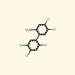 O=[N+]([O-])c1cc(Cl)c(Cl)cc1-c1cc(Cl)c(Cl)cc1Cl